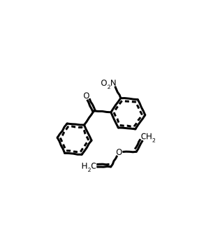 C=COC=C.O=C(c1ccccc1)c1ccccc1[N+](=O)[O-]